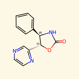 O=C1N[C@H](c2ccccc2)[C@@H](c2cnccn2)O1